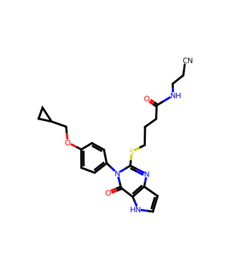 N#CCCNC(=O)CCCSc1nc2cc[nH]c2c(=O)n1-c1ccc(OCC2CC2)cc1